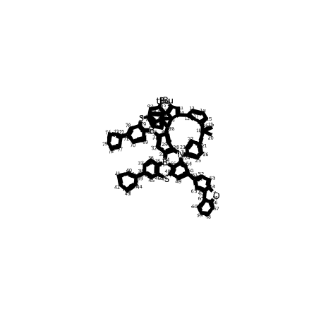 CC(C)(C)C1=CC2(c3ccccc3)C(=C1)c1cccc(c1)C(C)(C)c1ccc(cc1)N1c3cc4c(cc3B3c5ccc(-c6ccccc6)cc5Sc5cc(-c6ccc7oc8ccccc8c7c6)cc1c53)B1c3ccc(-c5ccccc5)cc3Sc3cc(C(C)(C)C)cc(c31)C42